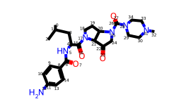 CC(C)CC(NC(=O)c1ccc(N)cc1)C(=O)N1CCC2C1C(=O)CN2C(=O)N1CCN(C)CC1